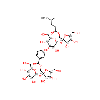 CC(CCC(=O)OC[C@@]1(O[C@H]2O[C@H](CO)[C@@H](O)[C@H](O)[C@H]2O)O[C@H](CO)[C@@H](O)[C@@H]1O)C(=O)O.O=C(OC[C@@]1(O[C@H]2O[C@H](CO)[C@@H](O)[C@H](O)[C@H]2O)O[C@H](CO)[C@@H](O)[C@@H]1O)c1ccccc1